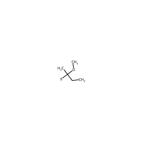 CCC(C)([S])OC